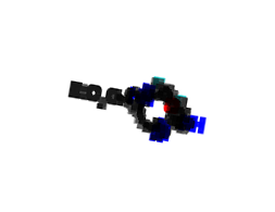 CCOC(=O)/C=C/c1cccc(C2(C)CCCCc3cn(nn3)Cc3c(c(F)cc4[nH]ccc34)Oc3ccc(F)c(c3)-c3ncc2[nH]3)c1